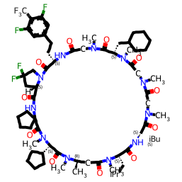 CC[C@H](C)[C@@H]1NC(=O)[C@H](CC(C)C)N(C)C(=O)C[C@@H](C)N(C)C(=O)[C@H](C2CCCC2)N(C)C(=O)C2(CCCC2)NC(=O)[C@@H]2CC(F)(F)CN2C(=O)[C@H](CCc2cc(F)c(C(F)(F)F)c(F)c2)NC(=O)CN(C)C(=O)[C@H](CC2CCCCC2)N(C)C(=O)CN(C)C(=O)CN(C)C1=O